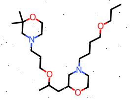 CCCOCCCCN1CCOC(CC(C)OCCCN2CCOC(C)(C)C2)C1